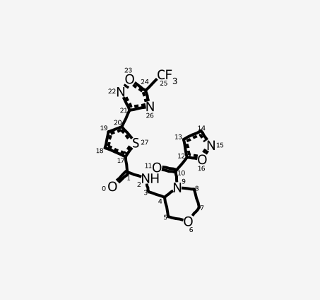 O=C(NCC1COCCN1C(=O)c1ccno1)c1ccc(-c2noc(C(F)(F)F)n2)s1